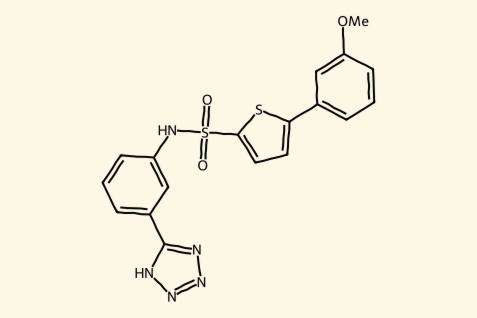 COc1cccc(-c2ccc(S(=O)(=O)Nc3cccc(-c4nnn[nH]4)c3)s2)c1